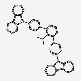 C=C(/C=C\C(=C/C)n1c2ccccc2c2ccccc21)c1cccc(-c2ccc(-n3c4ccccc4c4ccccc43)cc2)c1C(C)C